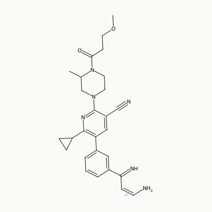 COCCC(=O)N1CCN(c2nc(C3CC3)c(-c3cccc(C(=N)/C=C\N)c3)cc2C#N)CC1C